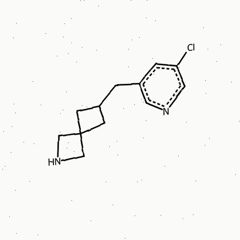 Clc1cncc(CC2CC3(CNC3)C2)c1